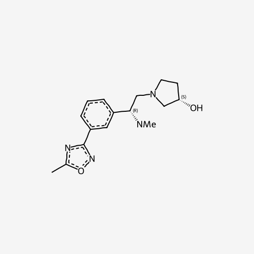 CN[C@@H](CN1CC[C@H](O)C1)c1cccc(-c2noc(C)n2)c1